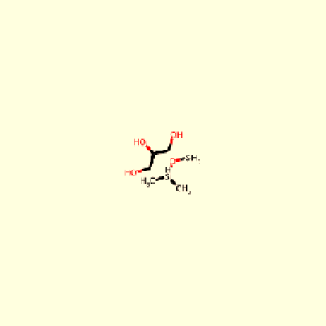 C[SiH](C)O[SiH3].OCC(O)CO